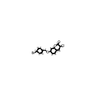 O=c1oc2cc(OCc3ccc(Br)cc3)ccc2cc1Cl